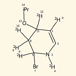 [2H]C1=CN([2H])C([2H])(Br)C([2H])([2H])C1([2H])OC(C)C